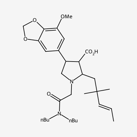 C/C=C/C(C)(C)CC1C(C(=O)O)C(c2cc(OC)c3c(c2)OCO3)CN1CC(=O)N(CCCC)CCCC